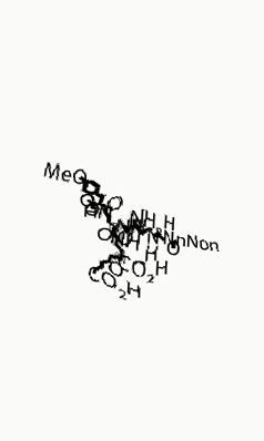 CCCCCCCCCC(=O)NCCNCC[C@H](N)C(=O)N[C@H](CCNC(=O)C1C=C2C=CC(OC)=CC2OC1=O)C(=O)NCC[C@@H](CC(=O)CCCC(=O)O)C(=O)O